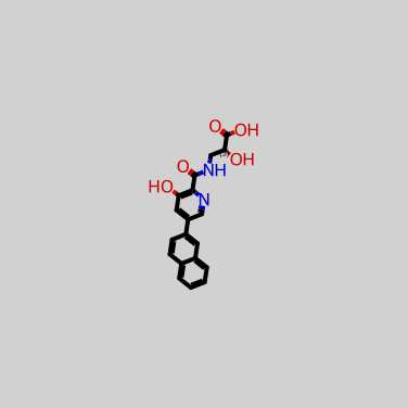 O=C(NC[C@H](O)C(=O)O)c1ncc(-c2ccc3ccccc3c2)cc1O